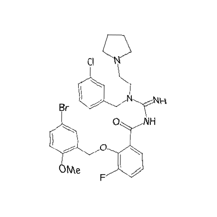 COc1ccc(Br)cc1COc1c(F)cccc1C(=O)NC(=N)N(CCN1CCCC1)Cc1cccc(Cl)c1